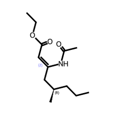 CCC[C@@H](C)C/C(=C/C(=O)OCC)NC(C)=O